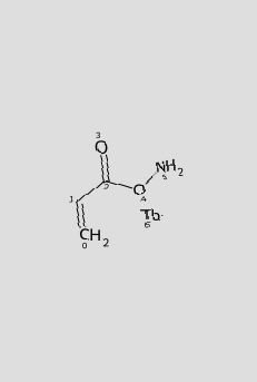 C=CC(=O)ON.[Tb]